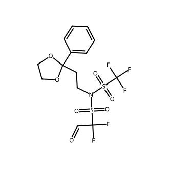 O=CC(F)(F)S(=O)(=O)N(CCC1(c2ccccc2)OCCO1)S(=O)(=O)C(F)(F)F